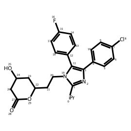 CC(C)c1nc(-c2ccc(Cl)cc2)c(-c2ccc(F)cc2)n1CCC1CC(O)CC(=O)O1